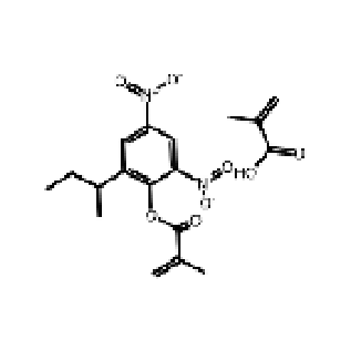 C=C(C)C(=O)O.C=C(C)C(=O)Oc1c(C(C)CC)cc([N+](=O)[O-])cc1[N+](=O)[O-]